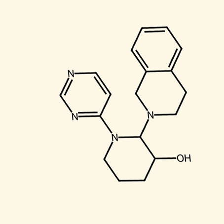 OC1CCCN(c2ccncn2)C1N1CCc2ccccc2C1